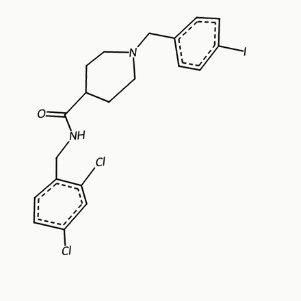 O=C(NCc1ccc(Cl)cc1Cl)C1CCN(Cc2ccc(I)cc2)CC1